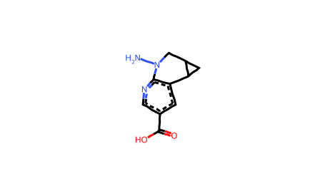 NN1CC2CC2c2cc(C(=O)O)cnc21